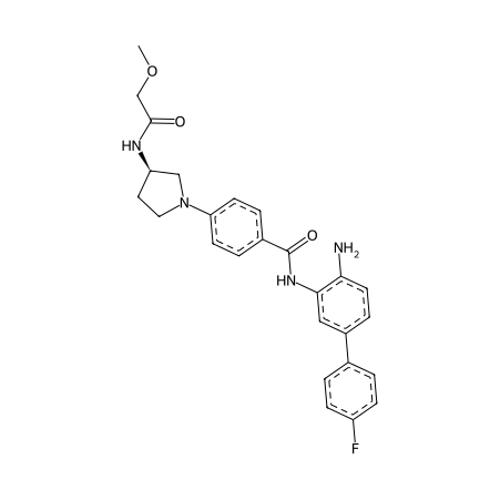 COCC(=O)N[C@@H]1CCN(c2ccc(C(=O)Nc3cc(-c4ccc(F)cc4)ccc3N)cc2)C1